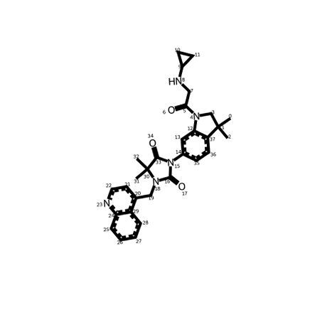 CC1(C)CN(C(=O)CNC2CC2)c2cc(N3C(=O)N(Cc4ccnc5ccccc45)C(C)(C)C3=O)ccc21